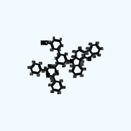 N#Cc1cccc(-c2cc(-c3nc(-c4ccccc4)nc(-c4ccccc4)n3)cc(-n3c4ccccc4c4c5sc6ccccc6c5ccc43)c2)c1